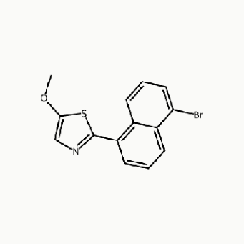 COc1cnc(-c2cccc3c(Br)cccc23)s1